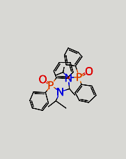 CC(C)N(C(C)N(C(C)C)P(=O)(c1ccccc1)c1ccccc1)P(=O)(c1ccccc1)c1ccccc1